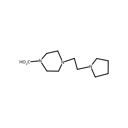 O=C(O)N1CCN(CCN2CCCC2)CC1